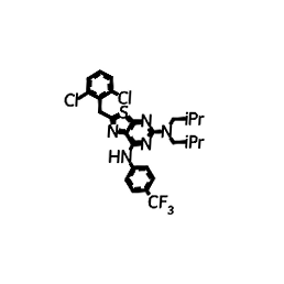 CC(C)CN(CC(C)C)c1nc(Nc2ccc(C(F)(F)F)cc2)c2nc(Cc3c(Cl)cccc3Cl)sc2n1